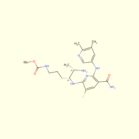 Cc1cc(Nc2nc(N[C@H](CCCNC(=O)OC(C)(C)C)[C@H](C)N)c(F)cc2C(N)=O)cnc1C